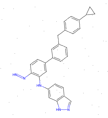 N=Nc1ccc(-c2cccc(Cc3ccc(C4CC4)cc3)c2)cc1Nc1ccc2cn[nH]c2c1